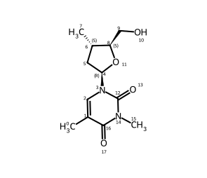 Cc1cn([C@H]2C[C@H](C)[C@@H](CO)O2)c(=O)n(C)c1=O